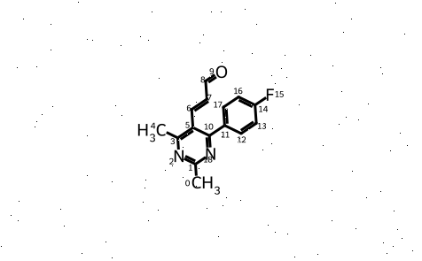 Cc1nc(C)c(C=CC=O)c(-c2ccc(F)cc2)n1